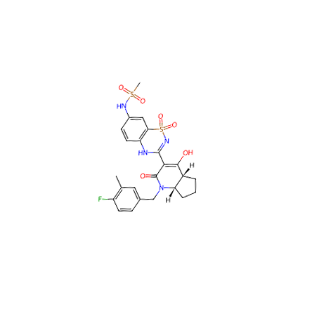 Cc1cc(CN2C(=O)C(C3=NS(=O)(=O)c4cc(NS(C)(=O)=O)ccc4N3)=C(O)[C@@H]3CCC[C@@H]32)ccc1F